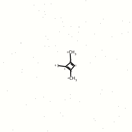 CC1=CC(C)=C1I